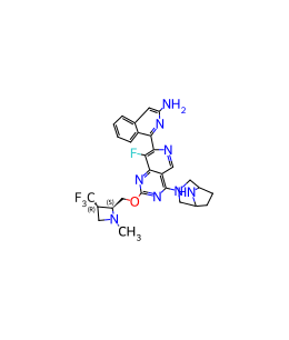 CN1C[C@@H](C(F)(F)F)[C@H]1COc1nc(N2CC3CCC(C2)N3)c2cnc(-c3nc(N)cc4ccccc34)c(F)c2n1